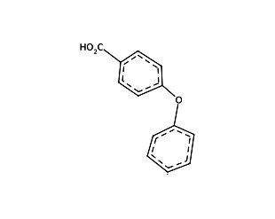 O=C(O)c1ccc(Oc2cc[c]cc2)cc1